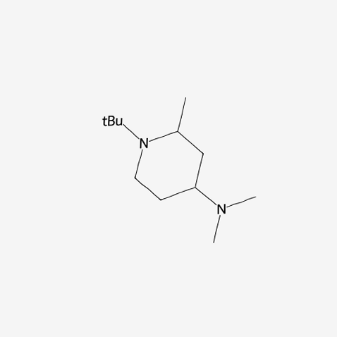 CC1CC(N(C)C)CCN1C(C)(C)C